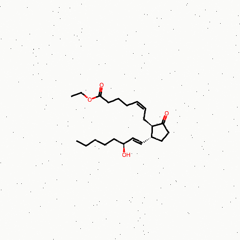 CCCCC[C@H](O)/C=C/[C@H]1CCC(=O)[C@@H]1C/C=C\CCCC(=O)OCC